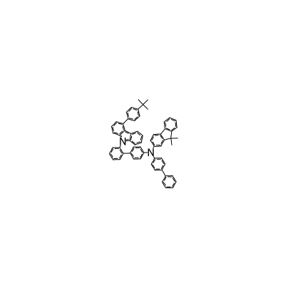 CC(C)(C)c1ccc(-c2cccc3c2c2ccccc2n3-c2ccccc2-c2ccc(N(c3ccc(-c4ccccc4)cc3)c3ccc4c(c3)C(C)(C)c3ccccc3-4)cc2)cc1